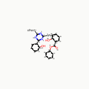 CCCCCc1nc(CCCCC)nc(-c2ccccc2O)n1.O=C(Oc1ccccc1)c1ccccc1O